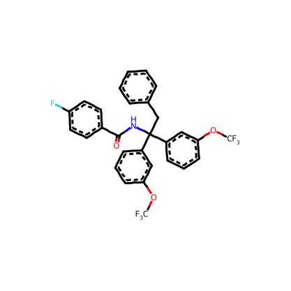 O=C(NC(Cc1ccccc1)(c1cccc(OC(F)(F)F)c1)c1cccc(OC(F)(F)F)c1)c1ccc(F)cc1